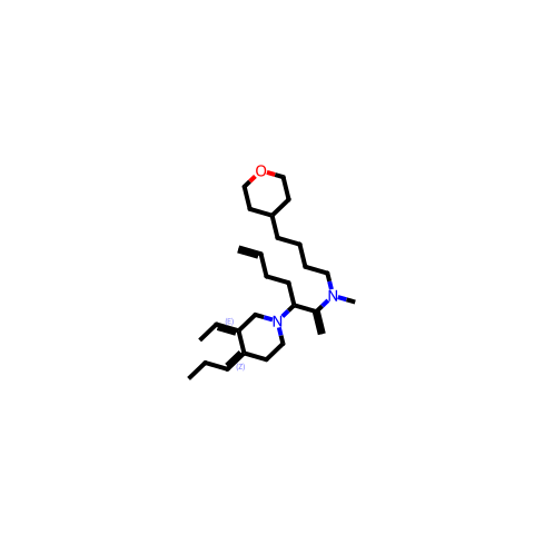 C=CCCC(C(=C)N(C)CCCCC1CCOCC1)N1CCC(=C/CC)/C(=C\C)C1